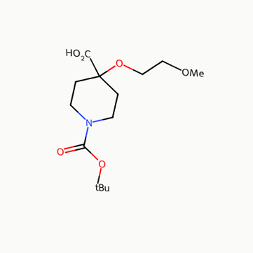 COCCOC1(C(=O)O)CCN(C(=O)OC(C)(C)C)CC1